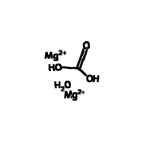 O.O=C(O)O.[Mg+2].[Mg+2]